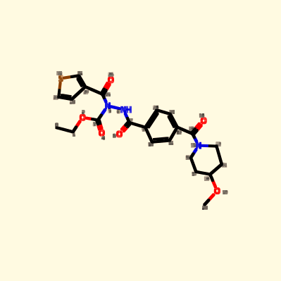 CCOC(=O)N(NC(=O)c1ccc(C(=O)N2CCC(OC)CC2)cc1)C(=O)c1ccsc1